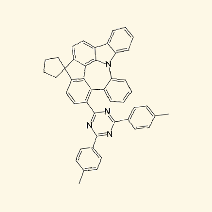 Cc1ccc(-c2nc(-c3ccc(C)cc3)nc(-c3ccc4c5c3-c3ccccc3-n3c6ccccc6c6ccc(c-5c63)C43CCCC3)n2)cc1